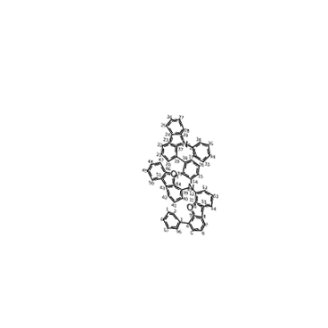 c1ccc(-c2cccc3c2oc2c(N(c4cccc(-c5cccc6c7ccccc7n(-c7ccccc7)c56)c4)c4cccc5c4oc4ccccc45)cccc23)cc1